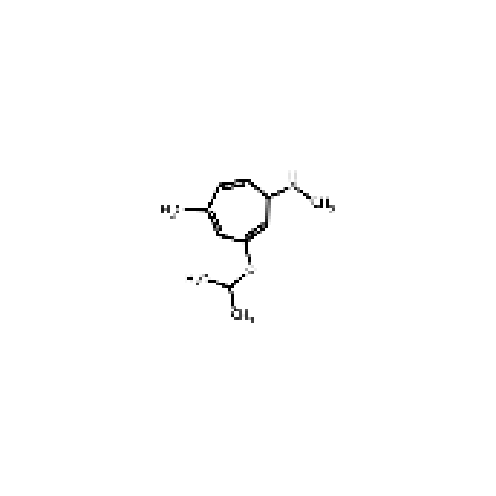 CNC1C=CC(C)=CC(OC(C)C)=C1